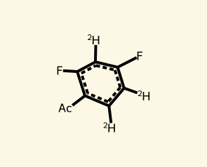 [2H]c1c([2H])c(C(C)=O)c(F)c([2H])c1F